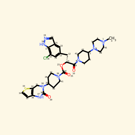 CN1CCN(C2CCN(C(=O)[C@@H](Cc3cc(Cl)c4[nH]ncc4c3)OC(=O)N3CCC(N4Cc5sccc5NC4=O)CC3)CC2)CC1